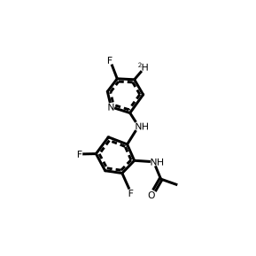 [2H]c1cc(Nc2cc(F)cc(F)c2NC(C)=O)ncc1F